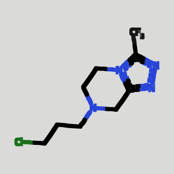 FC(F)(F)c1nnc2n1CCN(CCCCl)C2